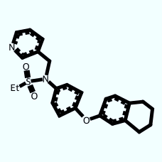 CCS(=O)(=O)N(Cc1cccnc1)c1ccc(Oc2ccc3c(c2)CCCC3)cc1